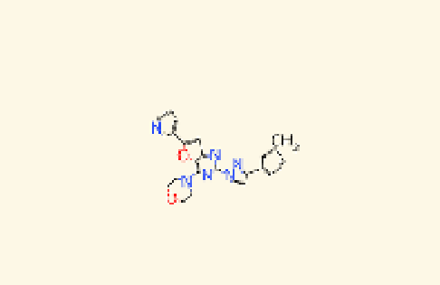 Cc1cccc(-c2ccn(-c3nc(N4CCOCC4)c4oc(-c5cccnc5)cc4n3)n2)c1